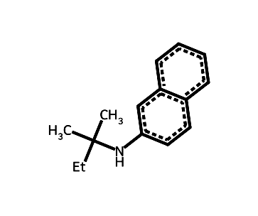 CCC(C)(C)Nc1ccc2ccccc2c1